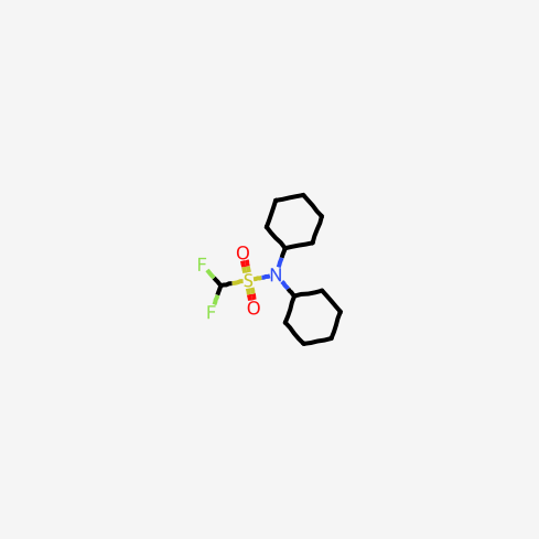 O=S(=O)(C(F)F)N(C1CCCCC1)C1CCCCC1